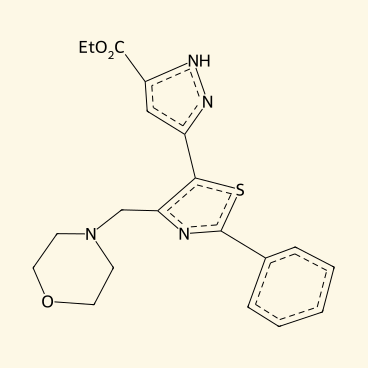 CCOC(=O)c1cc(-c2sc(-c3ccccc3)nc2CN2CCOCC2)n[nH]1